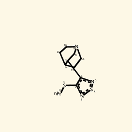 CCCSc1nsnc1C1CN2CCC1CC2